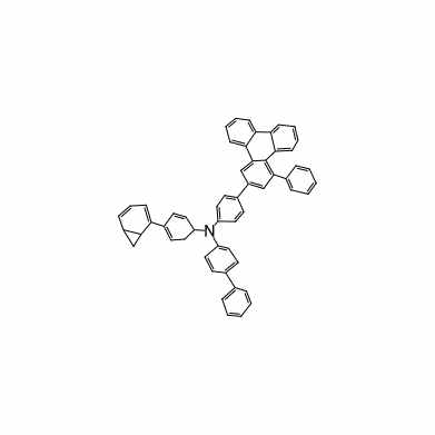 C1=CC2CC2C(C2=CCC(N(c3ccc(-c4ccccc4)cc3)c3ccc(-c4cc(-c5ccccc5)c5c6ccccc6c6ccccc6c5c4)cc3)C=C2)=C1